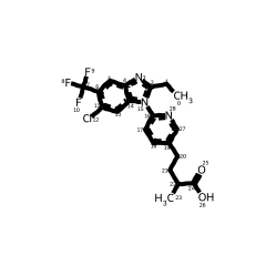 CCc1nc2cc(C(F)(F)F)c(Cl)cc2n1-c1ccc(CCC(C)C(=O)O)cn1